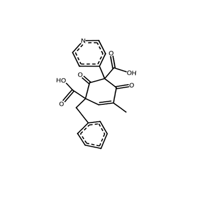 CC1=CC(Cc2ccccc2)(C(=O)O)C(=O)C(C(=O)O)(c2ccncc2)C1=O